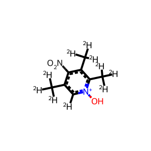 [2H]c1c(C([2H])([2H])[2H])c([N+](=O)[O-])c(C([2H])([2H])[2H])c(C([2H])([2H])[2H])[n+]1O